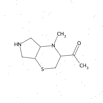 CC(=O)C1CSC2CNCC2N1C